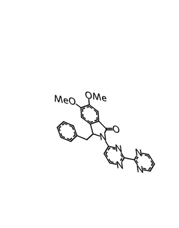 COc1cc2c(cc1OC)C(Cc1ccccc1)N(c1ccnc(-c3ncccn3)n1)C2=O